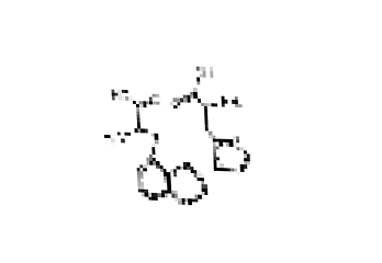 NC(Cc1cccc2ccccc12)C(=O)O.NC(Cc1cccs1)C(=O)O